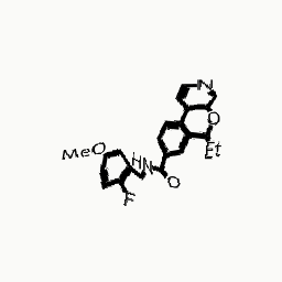 CCC1Oc2cnccc2-c2ccc(C(=O)NCc3cc(OC)ccc3F)cc21